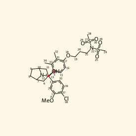 COc1cc(C2(O)CC3CCC(C2)N3Cc2ccc(OCCCN(S(C)(=O)=O)S(C)(=O)=O)c(C)c2C)ccc1Cl